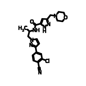 CC(Cn1ccc(-c2ccc(C#N)c(Cl)c2)n1)NC(=O)c1cc(CN2CCOCC2)n[nH]1